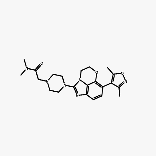 Cc1noc(C)c1-c1ccc2nc(N3CCN(CC(=O)N(C)C)CC3)n3c2c1OCC3